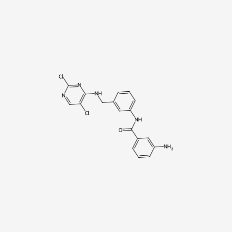 Nc1cccc(C(=O)Nc2cccc(CNc3nc(Cl)ncc3Cl)c2)c1